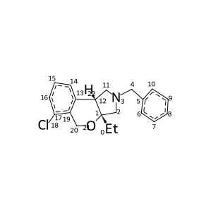 CC[C@]12CN(Cc3ccccc3)C[C@H]1c1cccc(Cl)c1CO2